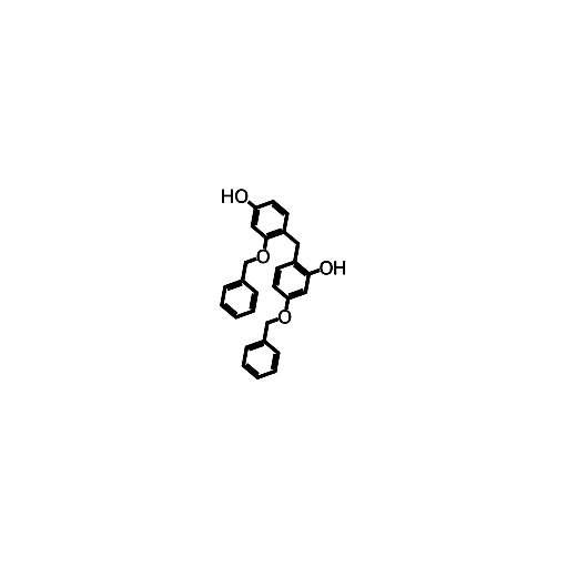 Oc1ccc(Cc2ccc(OCc3ccccc3)cc2O)c(OCc2ccccc2)c1